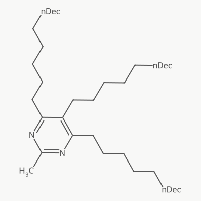 CCCCCCCCCCCCCCCc1nc(C)nc(CCCCCCCCCCCCCCC)c1CCCCCCCCCCCCCCC